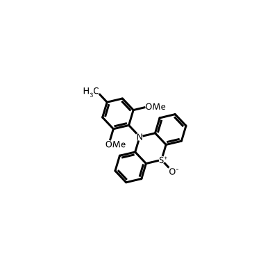 COc1cc(C)cc(OC)c1N1c2ccccc2[S+]([O-])c2ccccc21